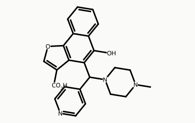 CN1CCN(C(c2ccncc2)c2c(O)c3ccccc3c3occ(C(=O)O)c23)CC1